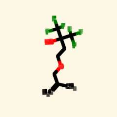 C=C(C)COCCC(O)(C(F)(F)F)C(F)(F)F